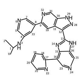 CC(C)Nc1cncc(-c2cc3c(-c4nc5c(-c6ccccn6)cncc5[nH]4)n[nH]c3cn2)c1